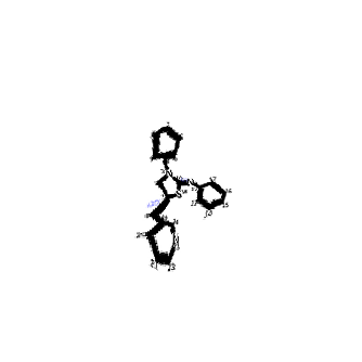 C(=C1\CN(c2ccccc2)/C(=N/c2ccccc2)S1)/c1cccnc1